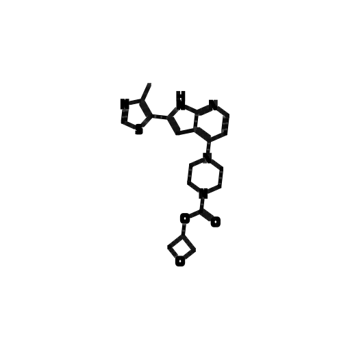 Cc1ncsc1-c1cc2c(N3CCN(C(=O)OC4COC4)CC3)ccnc2[nH]1